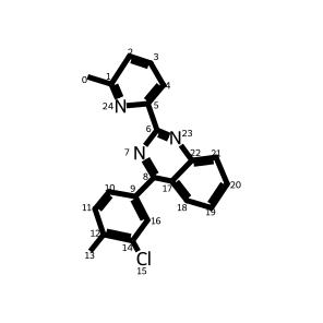 Cc1cccc(-c2nc(-c3ccc(C)c(Cl)c3)c3ccccc3n2)n1